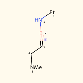 CCN/B=C\CNC